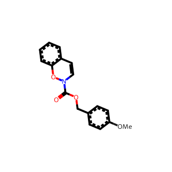 COc1ccc(COC(=O)N2C=Cc3ccccc3O2)cc1